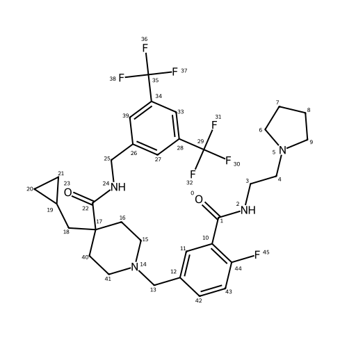 O=C(NCCN1CCCC1)c1cc(CN2CCC(CC3CC3)(C(=O)NCc3cc(C(F)(F)F)cc(C(F)(F)F)c3)CC2)ccc1F